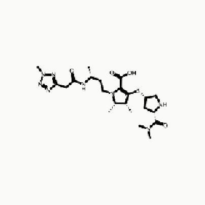 C[C@H](CCN1C(C(=O)O)=C(S[C@@H]2CN[C@H](C(=O)N(C)C)C2)[C@H](C)[C@@H]1C)NC(=O)Cc1nnn(C)n1